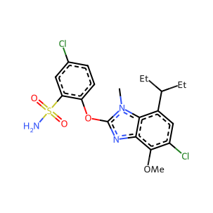 CCC(CC)c1cc(Cl)c(OC)c2nc(Oc3ccc(Cl)cc3S(N)(=O)=O)n(C)c12